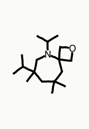 CC(C)N1CC(C)(C(C)C)CC(C)(C)CC12COC2